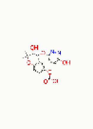 CC1(C)Oc2ccc(OC(=O)O)cc2C(Oc2ccc(O)nn2)C1O